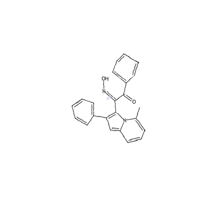 Cc1cccc2cc(-c3ccccc3)c(/C(=N/O)C(=O)c3ccccc3)n12